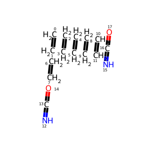 C=C.C=C.C=C.C=C.C=C.C=C.N=C=O.N=C=O